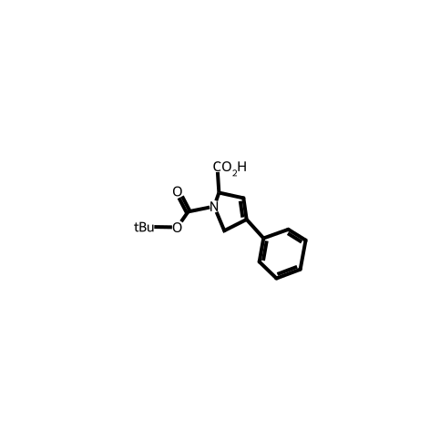 CC(C)(C)OC(=O)N1CC(c2ccccc2)=CC1C(=O)O